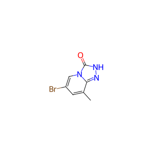 Cc1cc(Br)cn2c(=O)[nH]nc12